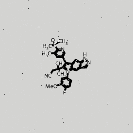 COc1cc(-n2c(C(C)(C)CC#N)c(-c3cnc(P(C)(C)=O)c(C)c3)c3cc4[nH]ncc4cc32)ccc1F